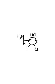 Cl.NNc1cccc(Cl)c1F